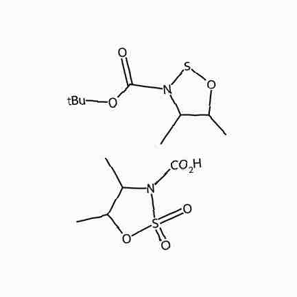 CC1OS(=O)(=O)N(C(=O)O)C1C.CC1OSN(C(=O)OC(C)(C)C)C1C